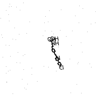 OCC(CO)NCC=Cc1ccc(C#Cc2ccc(-c3ccc(Cl)cc3)cn2)cc1